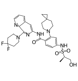 C[C@H](CO)S(=O)(=O)Nc1ccc(C(=O)Nc2cc3cccnc3c(N3CCC(F)(F)CC3)n2)c(N2CCC3(CC2)CC3)c1